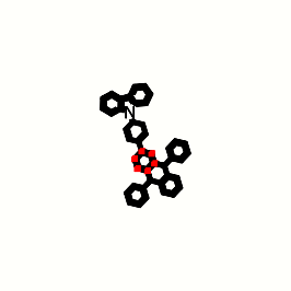 C1=CC2=C(CC1)C1(c3ccccc3)c3ccccc3C2(c2ccccc2)c2cc(C3=CCC(n4c5ccccc5c5ccccc54)C=C3)ccc21